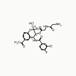 CC(=O)c1ccc2c(c1)[C@H](NC(=O)c1ccc(F)c(Cl)c1)[C@H](OC(=O)CNC(=O)CN)C(C)(C)O2.Cl